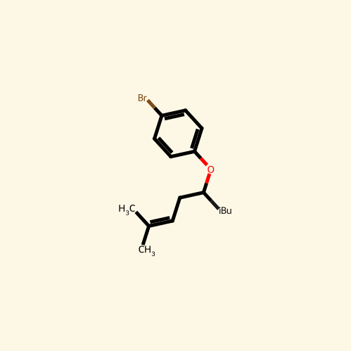 CCC(C)C(CC=C(C)C)Oc1ccc(Br)cc1